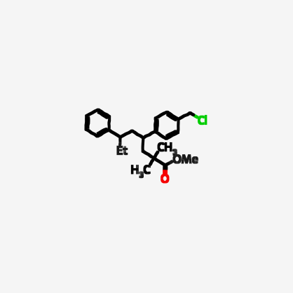 CCC(CC(CC(C)(C)C(=O)OC)c1ccc(CCl)cc1)c1ccccc1